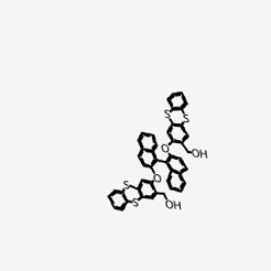 OCc1cc2c(cc1Oc1ccc3ccccc3c1-c1c(Oc3cc4c(cc3CO)Sc3ccccc3S4)ccc3ccccc13)Sc1ccccc1S2